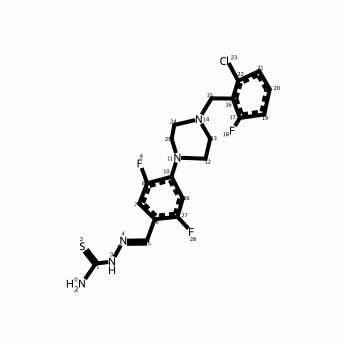 NC(=S)N/N=C/c1cc(F)c(N2CCN(Cc3c(F)cccc3Cl)CC2)cc1F